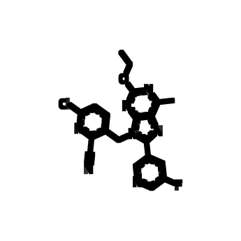 CCOc1nc(C)c2nc(-c3cncc(F)c3)n(Cc3ccc(Cl)nc3C#N)c2n1